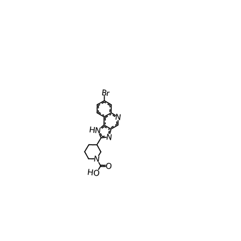 O=C(O)N1CCCC(c2nc3cnc4cc(Br)ccc4c3[nH]2)C1